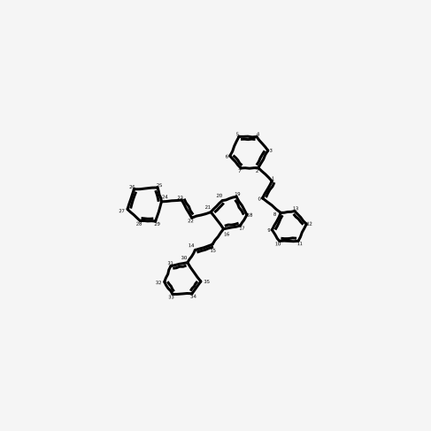 C(=Cc1ccccc1)c1ccccc1.C(=Cc1ccccc1C=Cc1ccccc1)c1ccccc1